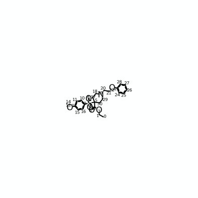 CCOC(=O)C1(S(=O)(=O)c2ccc(OC)cc2)CCN(CCOc2ccccc2)CC1